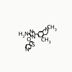 Cc1cc(-c2cnc(N)c(Oc3csc4cnccc34)n2)cc2c1CCN(C)C2